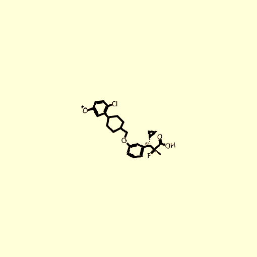 COc1ccc(Cl)c(C2CCC(COc3cccc([C@H](C4CC4)[C@@](C)(F)C(=O)O)c3)CC2)c1